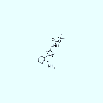 CC(C)(C)OC(=O)NCc1cc(-c2ccccc2CN)no1